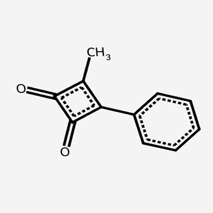 Cc1c(-c2ccccc2)c(=O)c1=O